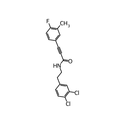 Cc1cc(C#CC(=O)NCCc2ccc(Cl)c(Cl)c2)ccc1F